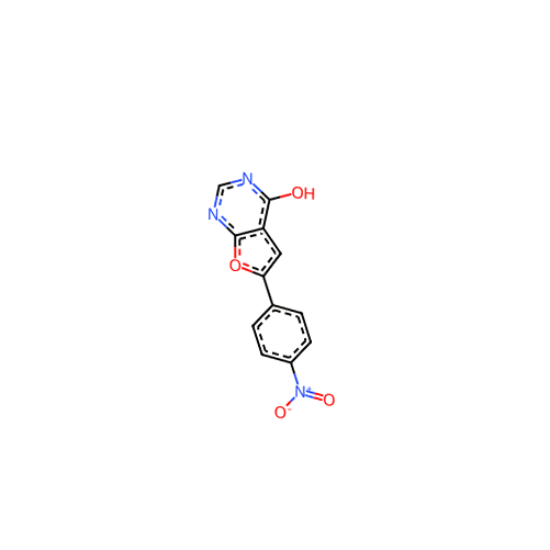 O=[N+]([O-])c1ccc(-c2cc3c(O)ncnc3o2)cc1